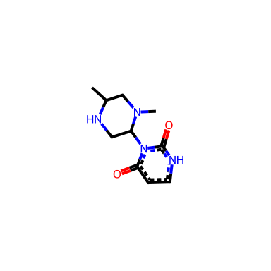 CC1CN(C)C(n2c(=O)cc[nH]c2=O)CN1